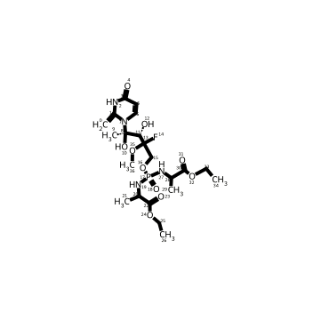 C=C1NC(=O)C=CN1[C@](C)(O)[C@H](O)C(F)(COP(=O)(NC(C)C(=O)OCC)NC(C)C(=O)OCC)OC